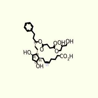 O=C(O)CCC/C=C\C[C@@H]1[C@@H](CC[C@H](CCc2ccccc2)OC(=O)CCC(=O)OCC(O)CO)[C@H](O)C[C@@H]1O